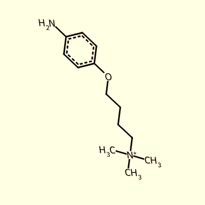 C[N+](C)(C)CCCCOc1ccc(N)cc1